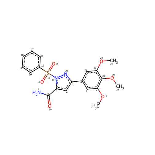 COc1cc(-c2cc(C(N)=O)n(S(=O)(=O)c3ccccc3)n2)cc(OC)c1OC